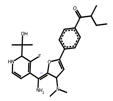 CCC(C)C(=O)c1ccc(C2=CC(N(C)C)/C(=C(\N)C3=C(F)C(C(C)(C)O)NC=C3)O2)cc1